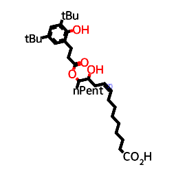 CCCCCC(OC(=O)CCc1cc(C(C)(C)C)cc(C(C)(C)C)c1O)C(O)C/C=C\CCCCCCCC(=O)O